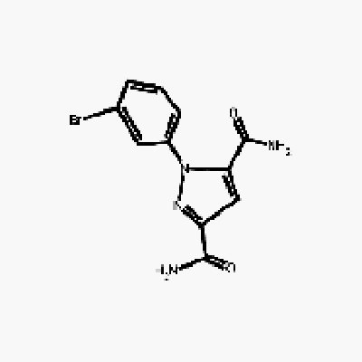 NC(=O)c1cc(C(N)=O)n(-c2cccc(Br)c2)n1